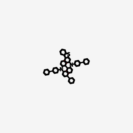 c1ccc(-c2ccc(N(c3ccc(-c4ccccc4)cc3)c3ccccc3-c3ccccc3N(c3ccc(-c4ccccc4)cc3)c3ccc4c(c3)sc3ccccc34)cc2)cc1